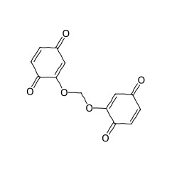 O=C1C=CC(=O)C(OCOC2=CC(=O)C=CC2=O)=C1